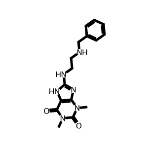 Cn1c(=O)c2[nH]c(NCCNCc3ccccc3)nc2n(C)c1=O